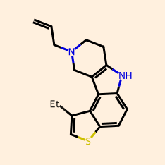 C=CCN1CCc2[nH]c3ccc4scc(CC)c4c3c2C1